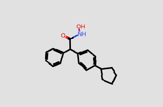 O=C(NO)C(c1ccccc1)c1ccc(C2CCCC2)cc1